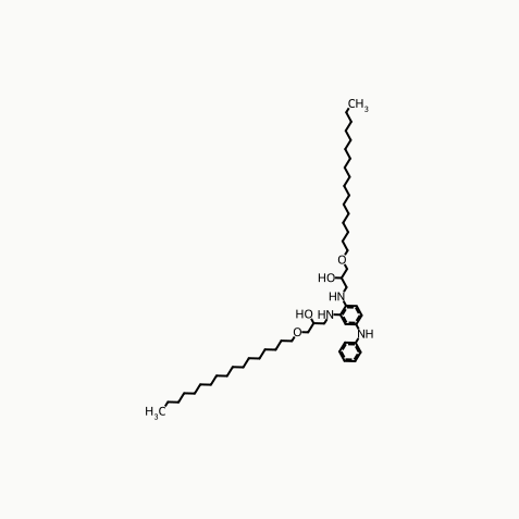 CCCCCCCCCCCCCCCCCOCC(O)CNc1ccc(Nc2ccccc2)cc1NCC(O)COCCCCCCCCCCCCCCCCC